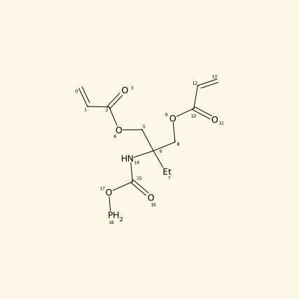 C=CC(=O)OCC(CC)(COC(=O)C=C)NC(=O)OP